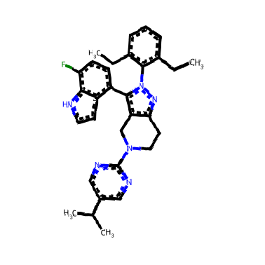 CCc1cccc(CC)c1-n1nc2c(c1-c1ccc(F)c3[nH]ccc13)CN(c1ncc(C(C)C)cn1)CC2